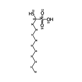 CCCCCCCCCCC(S)S(=O)(=O)O